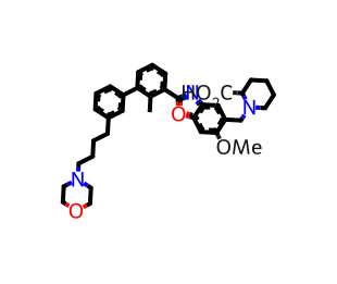 COc1cc2oc(-c3cccc(-c4cccc(CCCCN5CCOCC5)c4)c3C)nc2cc1CN1CCCCC1C(=O)O